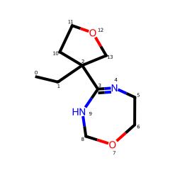 CCC1(C2=NCCOCN2)CCOC1